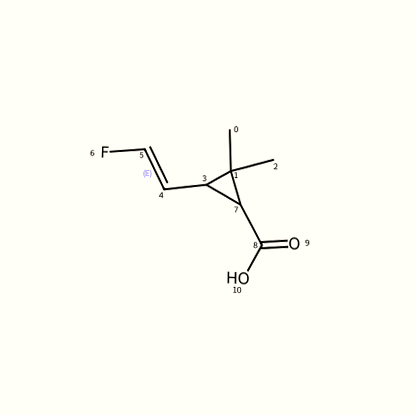 CC1(C)C(/C=C/F)C1C(=O)O